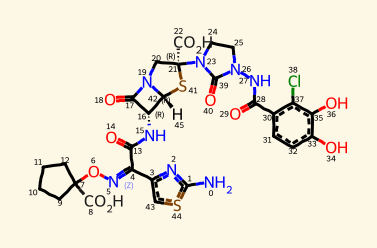 Nc1nc(/C(=N/OC2(C(=O)O)CCCC2)C(=O)N[C@@H]2C(=O)N3C[C@@](C(=O)O)(N4CCN(NC(=O)c5ccc(O)c(O)c5Cl)C4=O)S[C@H]23)cs1